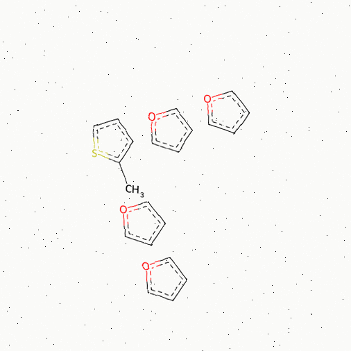 Cc1cccs1.c1ccoc1.c1ccoc1.c1ccoc1.c1ccoc1